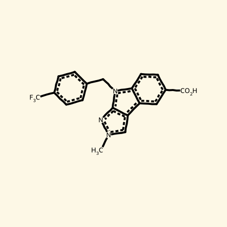 Cn1cc2c3cc(C(=O)O)ccc3n(Cc3ccc(C(F)(F)F)cc3)c2n1